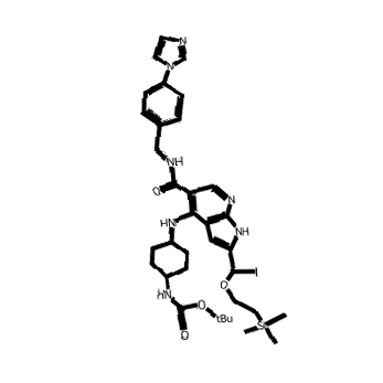 CC(C)(C)OC(=O)NC1CCC(Nc2c(C(=O)NCc3ccc(-n4ccnc4)cc3)cnc3[nH]c(C(I)OCC[Si](C)(C)C)cc23)CC1